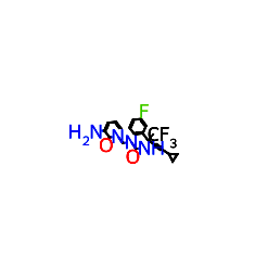 Nc1cccn(CN2C(=O)N[C@](C#CC3CC3)(C(F)(F)F)c3cc(F)ccc32)c1=O